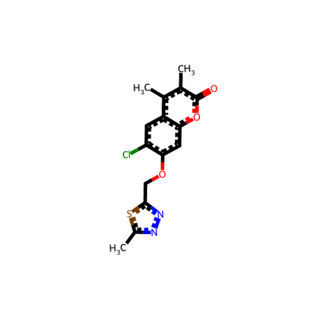 Cc1nnc(COc2cc3oc(=O)c(C)c(C)c3cc2Cl)s1